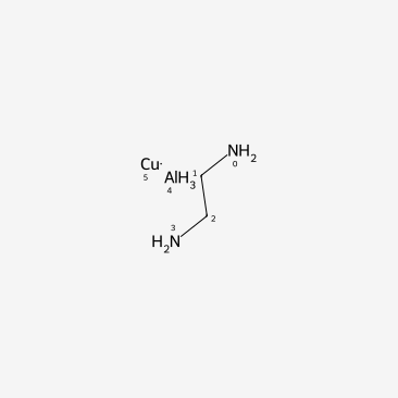 NCCN.[AlH3].[Cu]